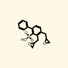 O=S(=O)(O)c1c(-c2ccccc2)ccc(CC2CO2)c1CC1CO1